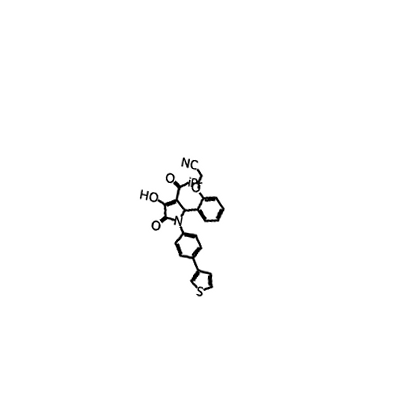 CC(C)C(=O)C1=C(O)C(=O)N(c2ccc(-c3ccsc3)cc2)C1c1ccccc1OCC#N